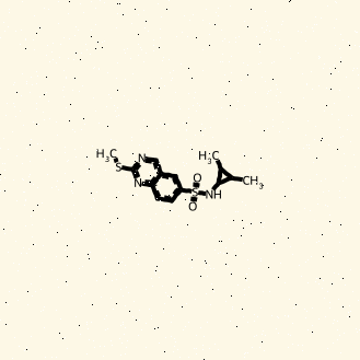 CSc1ncc2cc(S(=O)(=O)NC3C(C)C3C)ccc2n1